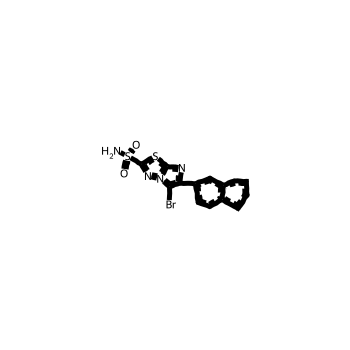 NS(=O)(=O)c1nn2c(Br)c(-c3ccc4ccccc4c3)nc2s1